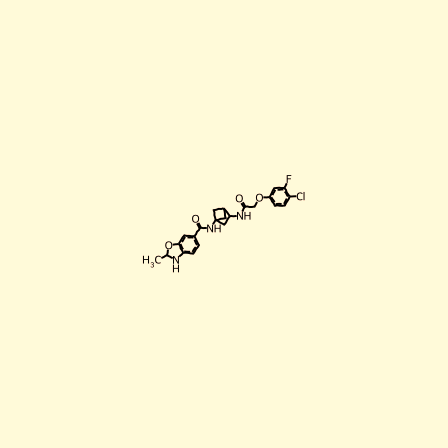 CC1Nc2ccc(C(=O)NC34CC(C3)C(NC(=O)COc3ccc(Cl)c(F)c3)C4)cc2O1